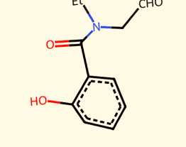 CCN(CC=O)C(=O)c1ccccc1O